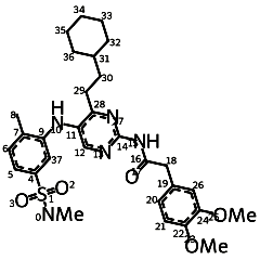 CNS(=O)(=O)c1ccc(C)c(Nc2cnc(NC(=O)Cc3ccc(OC)c(OC)c3)nc2CCC2CCCCC2)c1